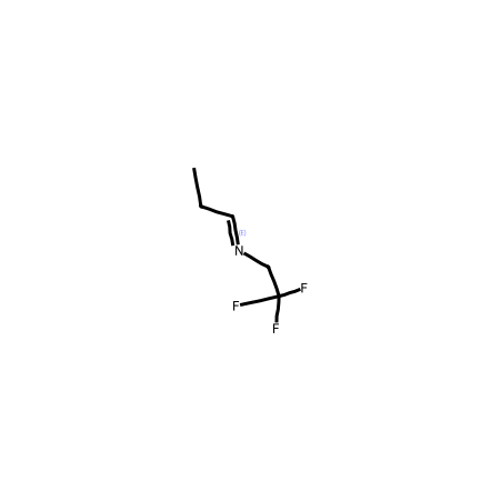 CC/C=N/CC(F)(F)F